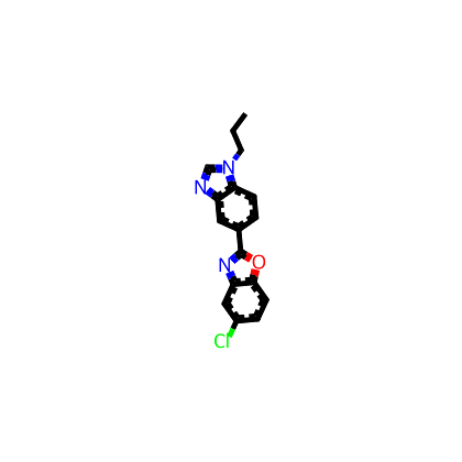 CCCn1cnc2cc(-c3nc4cc(Cl)ccc4o3)ccc21